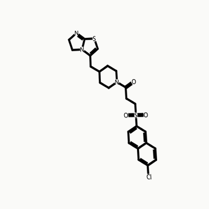 O=C(CCS(=O)(=O)c1ccc2cc(Cl)ccc2c1)N1CCC(CC2=CSC3=NCCN23)CC1